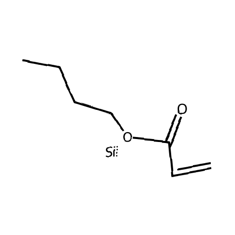 C=CC(=O)OCCCC.[Si]